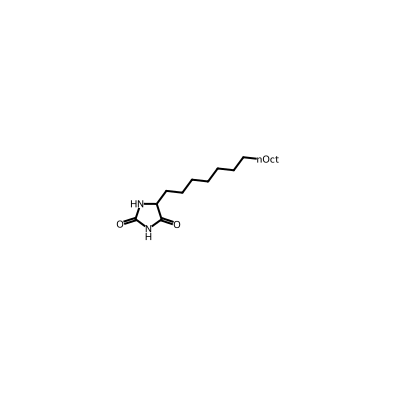 CCCCCCCCCCCCCCCC1NC(=O)NC1=O